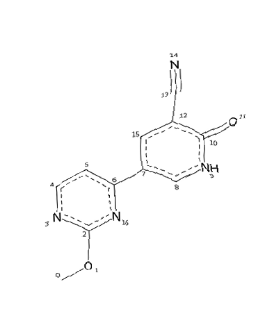 COc1nccc(-c2c[nH]c(=O)c(C#N)c2)n1